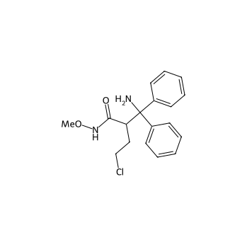 CONC(=O)C(CCCl)C(N)(c1ccccc1)c1ccccc1